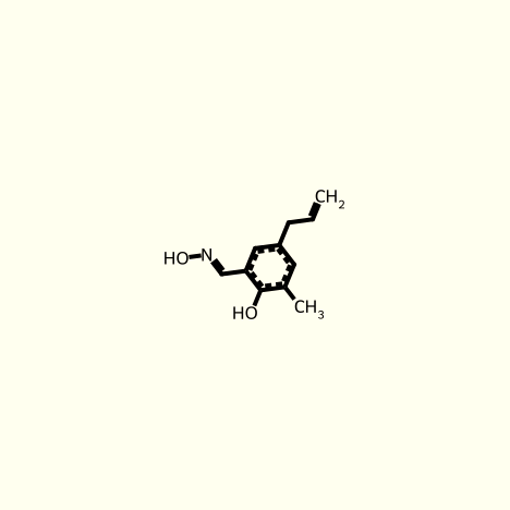 C=CCc1cc(C)c(O)c(C=NO)c1